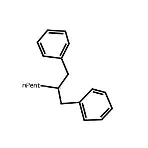 CCCCC[C](Cc1ccccc1)Cc1ccccc1